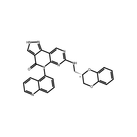 O=c1c2c[nH]nc2c2cnc(NC[C@H]3COc4ccccc4O3)nc2n1-c1cccc2ncccc12